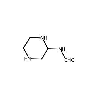 O=CNC1CNCCN1